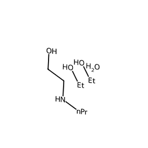 CCCNCCO.CCO.CCO.O